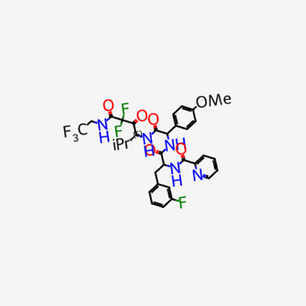 COc1ccc(C(NC(=O)C(Cc2cccc(F)c2)NC(=O)c2ccccn2)C(=O)N[C@H](C(=O)C(F)(F)C(=O)NCC(F)(F)F)C(C)C)cc1